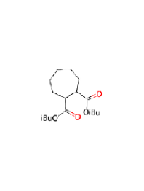 CC(C)COC(=O)C1CCCCCC1C(=O)OCC(C)C